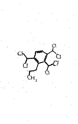 C[CH]Cc1c(C(Cl)Cl)ccc(C(Cl)Cl)c1C(Cl)Cl